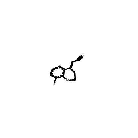 N#CC=C1CCNc2c(F)cccc21